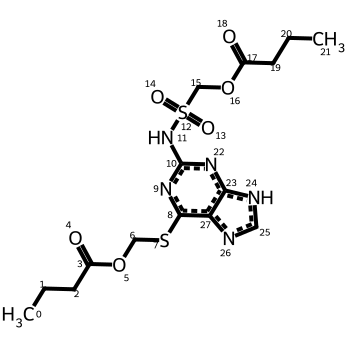 CCCC(=O)OCSc1nc(NS(=O)(=O)COC(=O)CCC)nc2[nH]cnc12